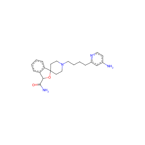 NC(=O)C1OC2(CCN(CCCCc3cc(N)ccn3)CC2)c2ccccc21